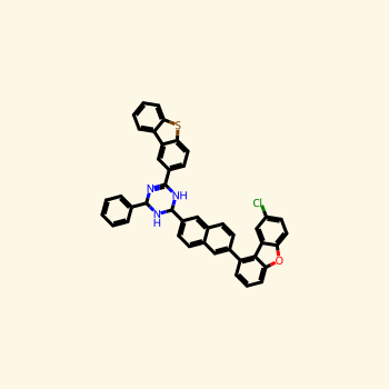 Clc1ccc2oc3cccc(-c4ccc5cc(C6NC(c7ccc8sc9ccccc9c8c7)=NC(c7ccccc7)N6)ccc5c4)c3c2c1